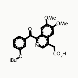 CCC(C)Oc1cccc(C(=O)c2ncc(CC(=O)O)c3cc(OC)c(OC)cc23)c1